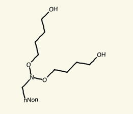 CCCCCCCCCCN(OCCCCO)OCCCCO